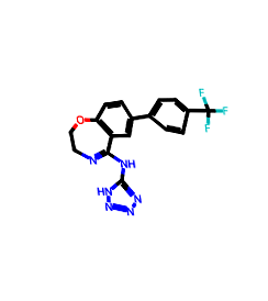 FC(F)(F)c1ccc(-c2ccc3c(c2)C(Nc2nnn[nH]2)=NCCO3)cc1